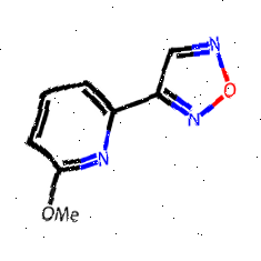 COc1cccc(-c2cnon2)n1